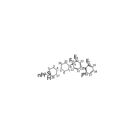 CCC[SiH]1CCC([C@H]2CC[C@H](C3(F)C=CC(c4c(F)cccc4F)=CC3F)CC2)CC1